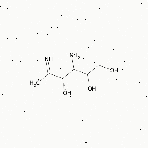 CC(=N)[C@@H](O)C(N)C(O)CO